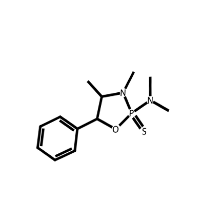 CC1C(c2ccccc2)OP(=S)(N(C)C)N1C